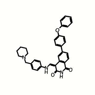 O=C1NC(=O)c2ccc(-c3ccc(Oc4ccccc4)cc3)cc2/C1=C/Nc1ccc(CN2CCCCC2)cc1